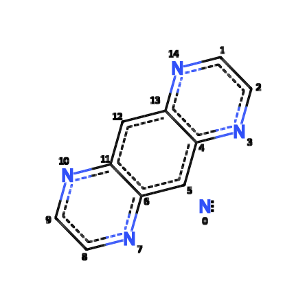 [N].c1cnc2cc3nccnc3cc2n1